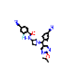 CC(C)Oc1ncc(C(c2ccc(C#N)cc2)N2CC[C@@H](NC(=O)c3ccc(C#N)cc3F)C2)cn1